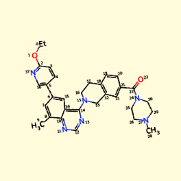 CCOc1ccc(-c2cc(C)c3ncnc(N4CCc5ccc(C(=O)N6CCN(C)CC6)cc5C4)c3c2)cn1